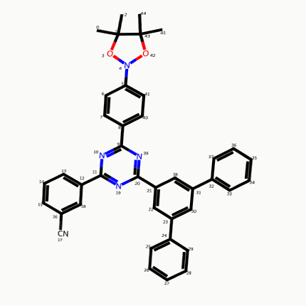 CC1(C)ON(c2ccc(-c3nc(-c4cccc(C#N)c4)nc(-c4cc(-c5ccccc5)cc(-c5ccccc5)c4)n3)cc2)OC1(C)C